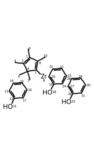 CC1=C(C)C(C)(C)[C]([Zr])=C1C.Oc1ccccc1.Oc1ccccc1.Oc1ccccc1